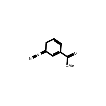 [CH2]OC(=O)C1=CC(=[N+]=[N-])CC=C1